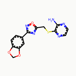 Nc1nccnc1SCc1nc(-c2ccc3c(c2)OCO3)no1